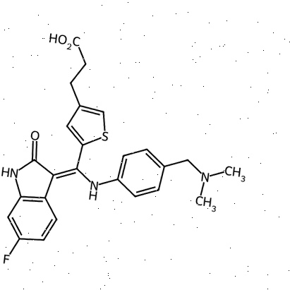 CN(C)Cc1ccc(NC(=C2C(=O)Nc3cc(F)ccc32)c2cc(CCC(=O)O)cs2)cc1